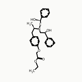 CCOC(=O)COc1ccc(C[C@@H](C)N(C[C@@H](O)c2ccccc2)C[C@@H](O)c2ccccc2)cc1